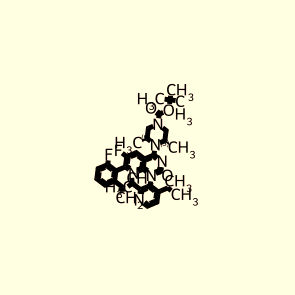 C=Cc1cccc(F)c1-c1nc2c(cc1F)c(N1[C@@H](C)CN(C(=O)OC(C)(C)C)C[C@@H]1C)nc(=O)n2-c1c(C(C)C)ccnc1C(C)C